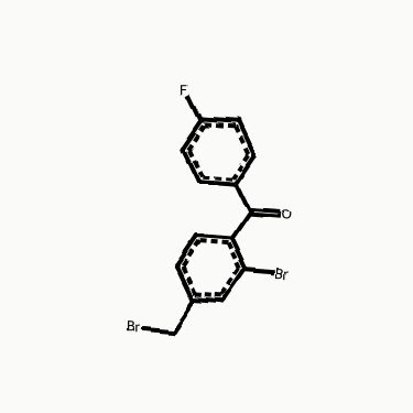 O=C(c1ccc(F)cc1)c1ccc(CBr)cc1Br